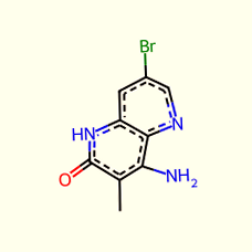 Cc1c(N)c2ncc(Br)cc2[nH]c1=O